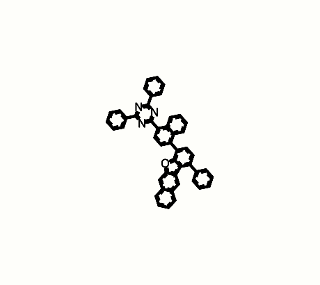 c1ccc(-c2nc(-c3ccccc3)nc(-c3ccc(-c4ccc(-c5ccccc5)c5c4oc4cc6ccccc6cc45)c4ccccc34)n2)cc1